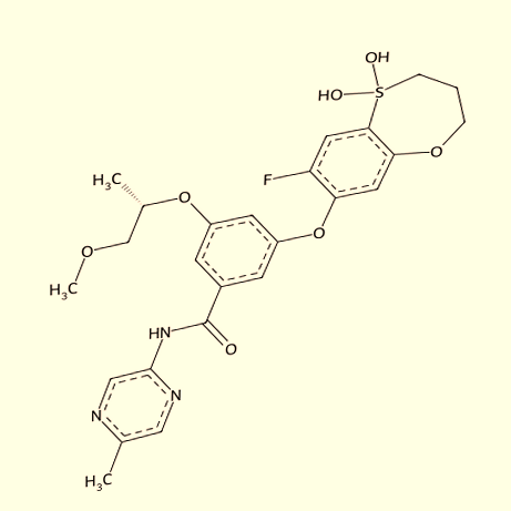 COC[C@H](C)Oc1cc(Oc2cc3c(cc2F)S(O)(O)CCCO3)cc(C(=O)Nc2cnc(C)cn2)c1